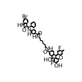 C=c1cc2c(cc1F)=C(c1ccc(C(=O)NCCCCCCNC(=O)c3ccc(N/C(=C4\C(=O)Nc5cc(Br)ccc54)c4ccccc4)cc3)cc1C(=O)O)c1cc(F)c(O)cc1O2